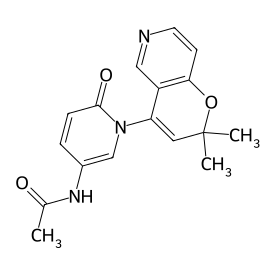 CC(=O)Nc1ccc(=O)n(C2=CC(C)(C)Oc3ccncc32)c1